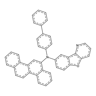 c1ccc(-c2ccc(N(c3ccc4oc5cccnc5c4c3)c3cc4c5ccccc5ccc4c4ccccc34)cc2)cc1